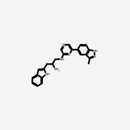 Cc1n[nH]c2ccc(-c3cncc(NCC(N)Cc4cc5ccccc5[nH]4)n3)cc12